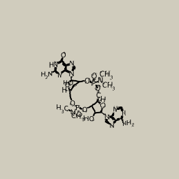 CN(C)P1(=O)OC[C@H]2O[C@@H](n3cnc4c(N)ncnc43)C(O)C2OP(=O)(N(C)C)OC[C@H]2O[C@@H](n3cnc4c(=O)[nH]c(N)nc43)C(O1)C2O